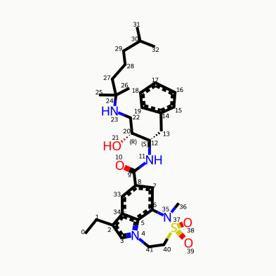 CCc1cn2c3c(cc(C(=O)N[C@@H](Cc4ccccc4)[C@H](O)CNC(C)(C)CCCC(C)C)cc13)N(C)S(=O)(=O)CC2